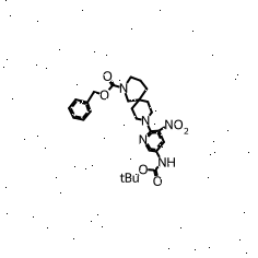 CC(C)(C)OC(=O)Nc1cnc(N2CCC3(CCCN(C(=O)OCc4ccccc4)C3)CC2)c([N+](=O)[O-])c1